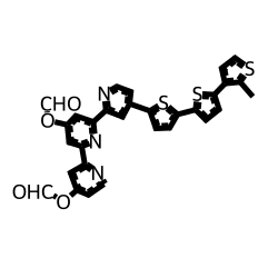 Cc1sccc1-c1ccc(-c2ccc(-c3ccnc(-c4cc(OC=O)cc(-c5cc(OC=O)ccn5)n4)c3)s2)s1